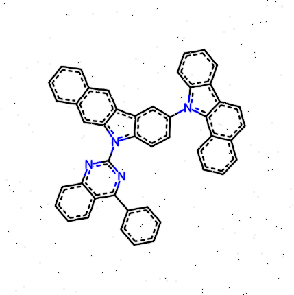 c1ccc(-c2nc(-n3c4ccc(-n5c6ccccc6c6ccc7ccccc7c65)cc4c4cc5ccccc5cc43)nc3ccccc23)cc1